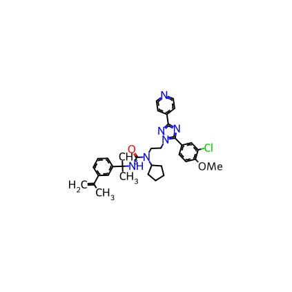 C=C(C)c1cccc(C(C)(C)NC(=O)N(CCn2nc(-c3ccncc3)nc2-c2ccc(OC)c(Cl)c2)C2CCCC2)c1